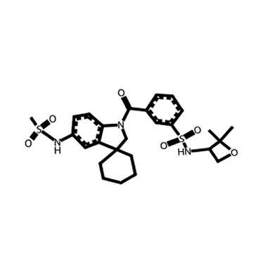 CC1(C)OCC1NS(=O)(=O)c1cccc(C(=O)N2CC3(CCCCC3)c3cc(NS(C)(=O)=O)ccc32)c1